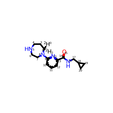 [2H]C1([2H])CCNCCN1c1cccc(C(=O)NCC2CC2)n1